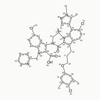 COc1ccc2c(c1)c(N1C[C@@H](C)n3c(c(CCCOc4cc(C)c(Cl)c(C)c4)c4ccc(Cl)c(-c5c(C)nn(C)c5C)c43)C1=O)c(C(=O)O)n2Cc1ccccn1